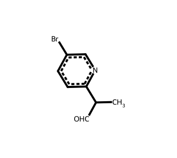 CC(C=O)c1ccc(Br)cn1